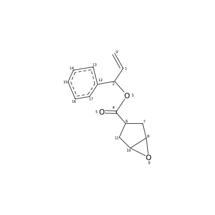 C=CC(OC(=O)C1CC2OC2C1)c1ccccc1